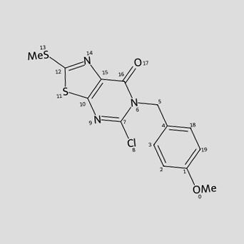 COc1ccc(Cn2c(Cl)nc3sc(SC)nc3c2=O)cc1